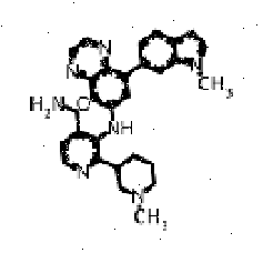 CN1CCCC(c2nccc(C(N)=O)c2Nc2cc(-c3ccc4ccn(C)c4c3)c3nccnc3c2)C1